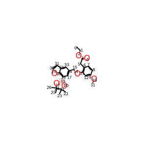 CCOC(=O)Cc1ccc(OC)cc1OCc1cc(B2OC(C)(C)C(C)(C)O2)c2occc2c1